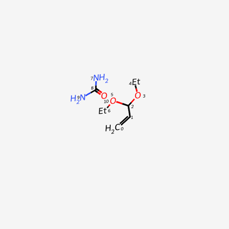 C=CC(OCC)OCC.NC(N)=O